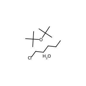 CC(C)(C)OC(C)(C)C.CCCCCCl.O